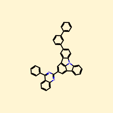 c1ccc(-c2cccc(-c3ccc4c(c3)c3cc(-c5nc(-c6ccccc6)c6ccccc6n5)cc5c6ccccc6n4c53)c2)cc1